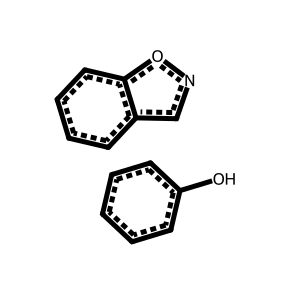 Oc1ccccc1.c1ccc2oncc2c1